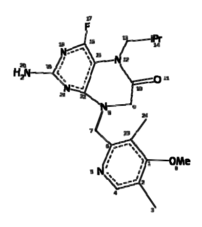 COc1c(C)cnc(CN2CC(=O)N(CC(C)C)c3c(F)nc(N)nc32)c1C